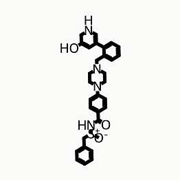 O=C(N[S+]([O-])Cc1ccccc1)c1ccc(N2CCN(Cc3ccccc3C3=CNCC(O)=C3)CC2)cc1